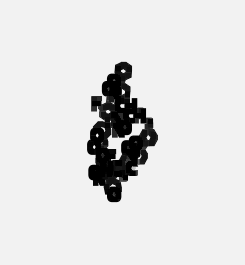 Cc1nc(C2(c3ccc(CN4[C@@H](C)CC[C@H](c5ccccc5)S4(=O)=O)c(F)c3)CCOC(CC(=O)OCc3nc(C4(c5ccc(CN6[C@@H](C)CC[C@H](c7ccccc7)S6(=O)=O)c(F)c5)CCOCC4)no3)C2)no1